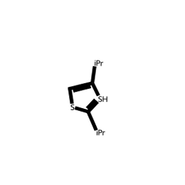 CC(C)C1=CSC(C(C)C)=[SH]1